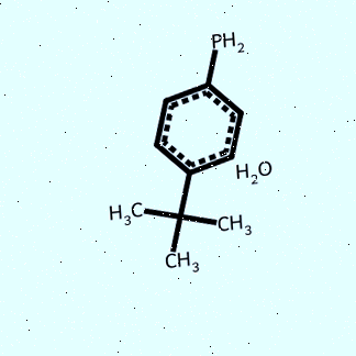 CC(C)(C)c1ccc(P)cc1.O